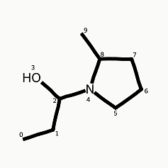 CCC(O)N1CCCC1C